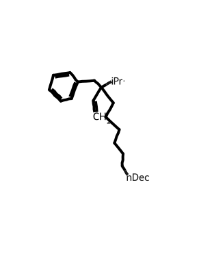 C=CC(CCCCCCCCCCCCCCCC)(Cc1ccccc1)[C](C)C